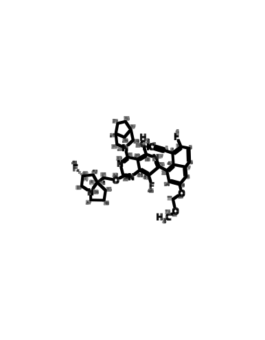 C#Cc1c(F)ccc2cc(OCOC)cc(-c3nc(C)c4c(N5CC6CCC(C6)C5)nc(OC[C@@]56CCCN5C[C@H](F)C6)nc4c3F)c12